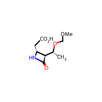 COCO[C@H](C)[C@H]1C(=O)N[C@@H]1CC(=O)O